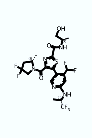 C[C@H](CO)NC(=O)c1nc(C(=O)N2CC(F)(F)C[C@@H]2C)c(-c2cnc(N[C@@H](C)C(F)(F)F)cc2C(F)F)s1